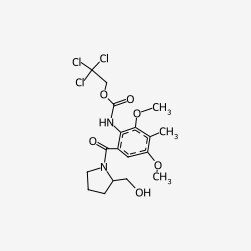 COc1cc(C(=O)N2CCCC2CO)c(NC(=O)OCC(Cl)(Cl)Cl)c(OC)c1C